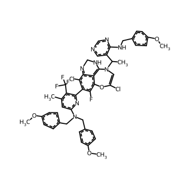 COc1ccc(CNc2ncncc2C(C)N2C=C(Cl)Oc3c(F)c(-c4nc(N(Cc5ccc(OC)cc5)Cc5ccc(OC)cc5)cc(C)c4C(F)(F)F)c(Cl)c4c3=C2NCN=4)cc1